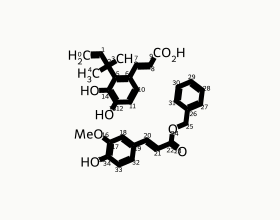 C=CC(C)(C)c1c(C=CC(=O)O)ccc(O)c1O.COc1cc(C=CC(=O)OCc2ccccc2)ccc1O